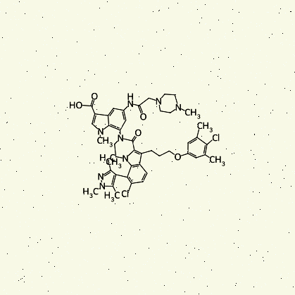 Cc1cc(OCCCc2c3n(c4c(-c5c(C)nn(C)c5C)c(Cl)ccc24)[C@H](C)CN(c2cc(NC(=O)CN4CCN(C)CC4)cc4c(C(=O)O)cn(C)c24)C3=O)cc(C)c1Cl